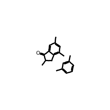 Cc1cc(C)c2c(c1)C(=O)C(C)C2.Cc1cccc(C)c1